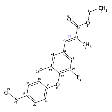 CCOC(=O)/C(C)=C/c1cc(F)c(Oc2ccc(SCl)cc2)c(F)c1